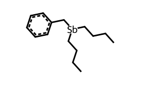 CCC[CH2][Sb]([CH2]CCC)[CH2]c1ccccc1